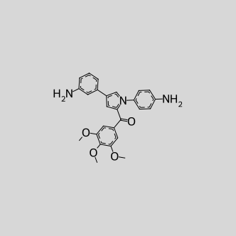 COc1cc(C(=O)c2cc(-c3cccc(N)c3)cn2-c2ccc(N)cc2)cc(OC)c1OC